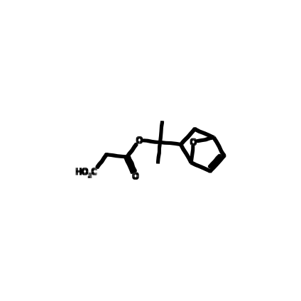 CC(C)(OC(=O)CC(=O)O)C1CC2C=CC1O2